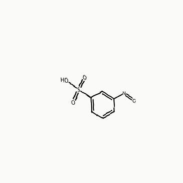 O=Nc1cccc(S(=O)(=O)O)c1